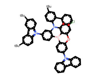 CC(C)(C)c1ccc(N2c3cc(-n4c5ccc(C(C)(C)C)cc5c5cc(C(C)(C)C)ccc54)ccc3B3c4ccc(-n5c6ccccc6c6ccccc65)cc4Oc4cc(Cl)cc2c43)c(-c2ccccc2)c1